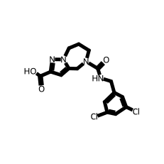 O=C(O)c1cc2n(n1)CCCN(C(=O)NCc1cc(Cl)cc(Cl)c1)C2